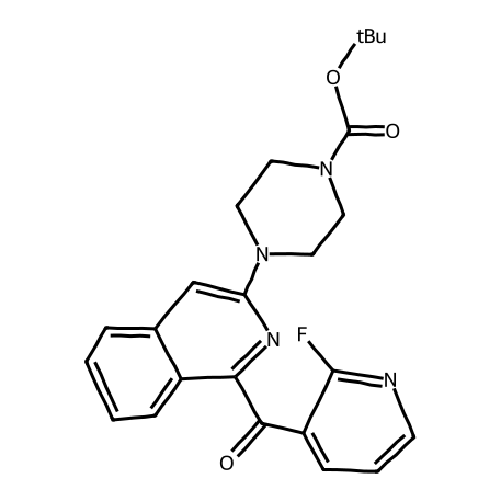 CC(C)(C)OC(=O)N1CCN(c2cc3ccccc3c(C(=O)c3cccnc3F)n2)CC1